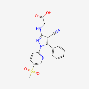 CS(=O)(=O)c1ccc(-n2nc(NCC(=O)O)c(C#N)c2-c2ccccc2)nc1